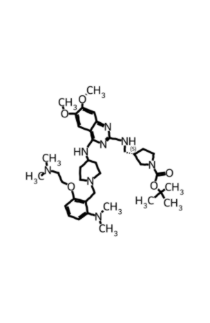 COc1cc2nc(NC[C@@H]3CCN(C(=O)OC(C)(C)C)C3)nc(NC3CCN(Cc4c(OCCN(C)C)cccc4N(C)C)CC3)c2cc1OC